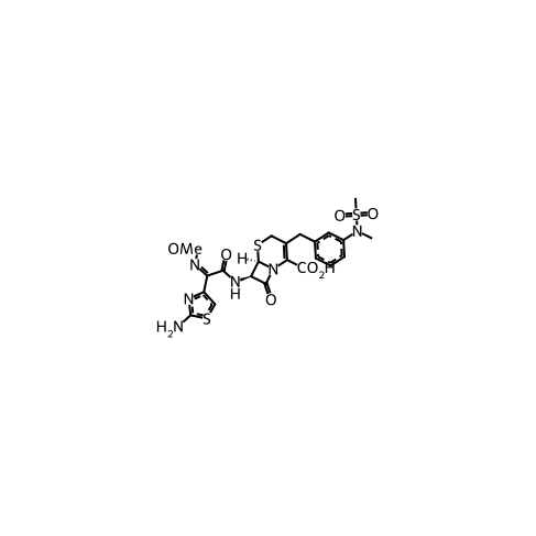 CO/N=C(\C(=O)N[C@@H]1C(=O)N2C(C(=O)O)=C(Cc3cccc(N(C)S(C)(=O)=O)c3)CS[C@H]12)c1csc(N)n1